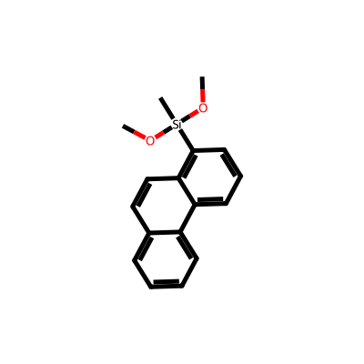 CO[Si](C)(OC)c1cccc2c1ccc1ccccc12